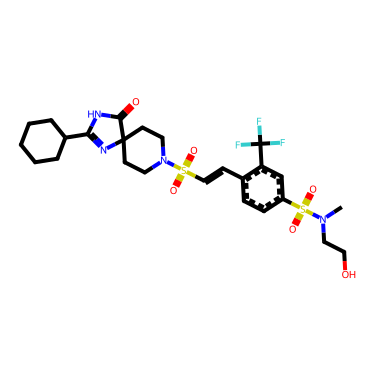 CN(CCO)S(=O)(=O)c1ccc(/C=C/S(=O)(=O)N2CCC3(CC2)N=C(C2CCCCC2)NC3=O)c(C(F)(F)F)c1